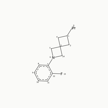 CC(C)C1CC2(C1)CN(c1ccccc1F)C2